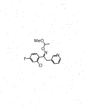 COC(C)ON=C(Cc1cccnc1)c1ccc(F)cc1Cl